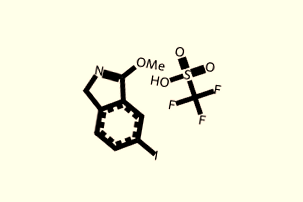 COC1=NCc2ccc(I)cc21.O=S(=O)(O)C(F)(F)F